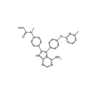 C=CC(=O)N(C)c1ccc(-c2[nH]c3ncnc(N)c3c2-c2ccc(Oc3cccc(C)n3)cc2)cc1